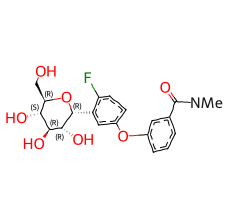 CNC(=O)c1cccc(Oc2ccc(F)c([C@H]3O[C@H](CO)[C@@H](O)[C@H](O)[C@H]3O)c2)c1